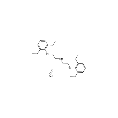 CCc1cccc(CC)c1NCCNCCNc1c(CC)cccc1CC.[Cl-].[Cl-].[Fe+2]